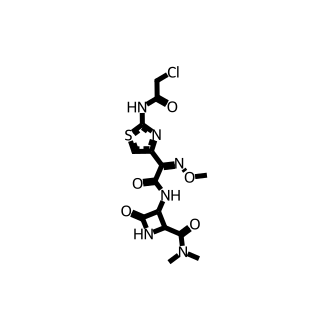 CON=C(C(=O)NC1C(=O)NC1C(=O)N(C)C)c1csc(NC(=O)CCl)n1